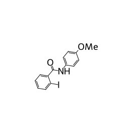 COc1ccc(NC(=O)c2ccccc2I)cc1